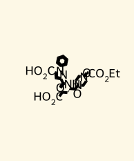 CCOC(=O)ON1CCN(C(=O)[C@H](CCC(=O)O)NC(=O)c2cc(C(=O)O)n(-c3ccccc3)n2)CC1